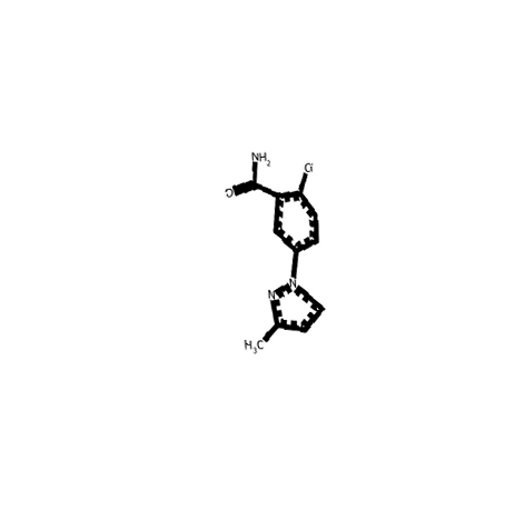 Cc1ccn(-c2ccc(Cl)c(C(N)=O)c2)n1